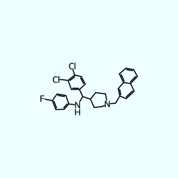 Fc1ccc(NC(c2ccc(Cl)c(Cl)c2)C2CCN(Cc3ccc4ccccc4c3)CC2)cc1